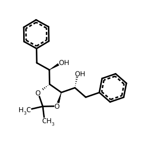 CC1(C)O[C@H]([C@H](O)Cc2ccccc2)[C@@H]([C@H](O)Cc2ccccc2)O1